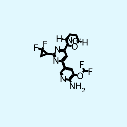 Nc1ncc(-c2cc(N3C[C@@H]4CC[C@H]3CO4)nc(C3CC3(F)F)n2)cc1OC(F)F